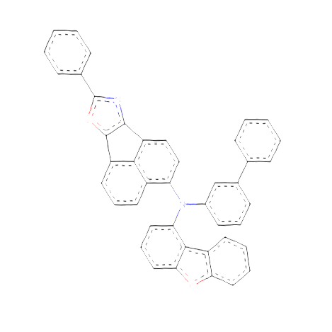 c1ccc(-c2cccc(N(c3ccc4c5c(cccc35)-c3oc(-c5ccccc5)nc3-4)c3cccc4oc5ccccc5c34)c2)cc1